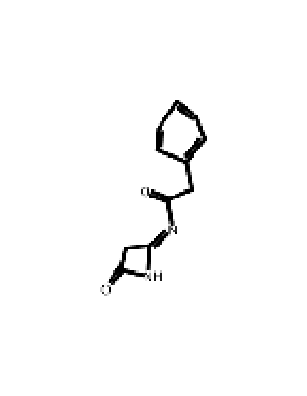 O=C(Cc1ccccc1)N=C1CC(=O)N1